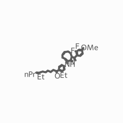 CCC/C=C(\CC)CCCCCC(=O)c1ccc(N/C2=C\C/C=C\CCC3C(c4ccc(OC)c(F)c4F)=CN=C23)cc1CC